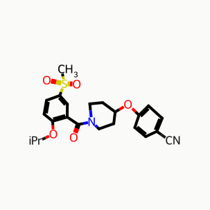 CC(C)Oc1ccc(S(C)(=O)=O)cc1C(=O)N1CCC(Oc2ccc(C#N)cc2)CC1